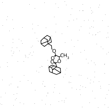 CC(OC(=O)C12CC3CC(CC(C3)C1)C2)C(=O)OCCC12CC3CC(CC(C3)C1)C2